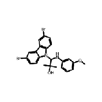 COc1cccc(NC(n2c3ccc(Br)cc3c3cc(Br)ccc32)C(C)(C)O)c1